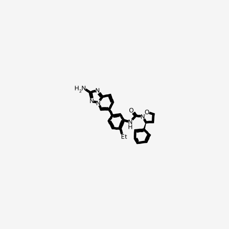 CCc1ccc(-c2ccc3nc(N)nn3c2)cc1NC(=O)N1OCC[C@H]1c1ccccc1